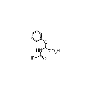 CC(C)C(=O)NC(Oc1ccccc1)C(=O)O